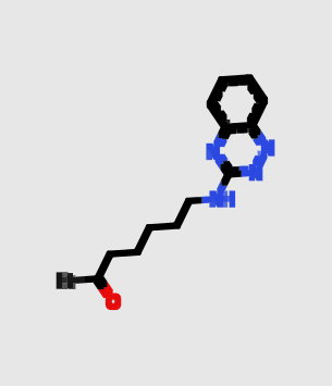 CCC(=O)CCCCCNc1nnc2ccccc2n1